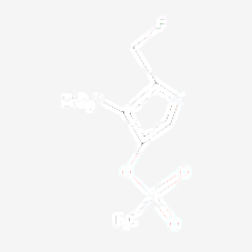 CCOC(=O)c1c(OS(=O)(=O)C(F)(F)F)csc1CF